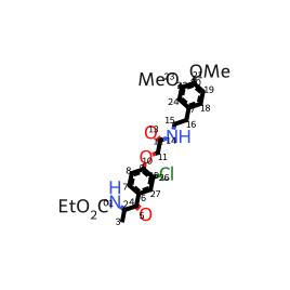 CCOC(=O)NC(C)C(=O)c1ccc(OCC(=O)NCCc2ccc(OC)c(OC)c2)c(Cl)c1